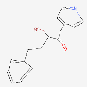 O=C(c1ccncc1)C(Br)CCc1ccccc1